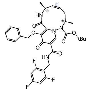 C[C@@H]1C/C=C\[C@H](C)NC(=O)c2c(OCc3ccccc3)c(=O)c(C(=O)NCc3c(F)cc(F)cc3F)cn2N1C(=O)OC(C)(C)C